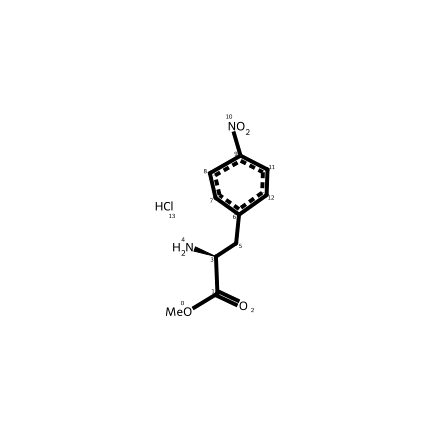 COC(=O)[C@@H](N)Cc1ccc([N+](=O)[O-])cc1.Cl